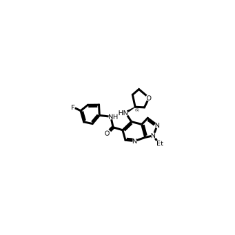 CCn1ncc2c(N[C@H]3CCOC3)c(C(=O)Nc3ccc(F)cc3)cnc21